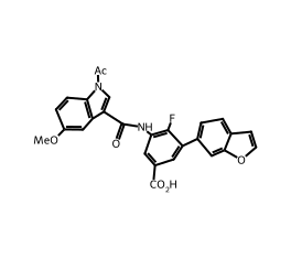 COc1ccc2c(c1)c(C(=O)Nc1cc(C(=O)O)cc(-c3ccc4ccoc4c3)c1F)cn2C(C)=O